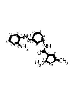 CC1=CC(C(=O)Nc2cccc(CNc3cccnc3N)c2)C(C)S1